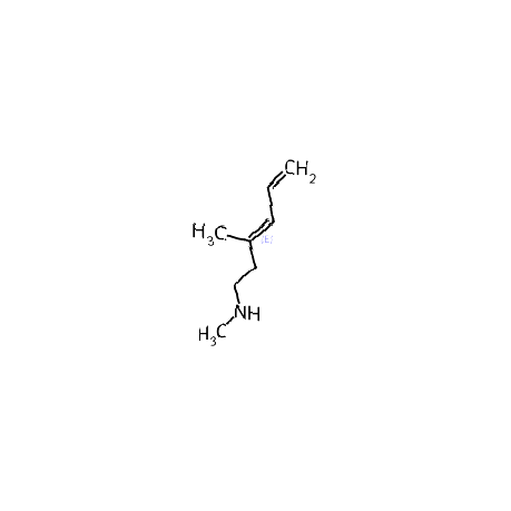 C=C/C=C(\C)CCNC